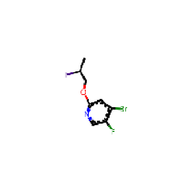 CC(I)COc1cc(Br)c(F)cn1